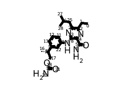 CCc1nc(C(N)=O)c(Nc2cccc([C@@H](C)COC(N)=O)c2)nc1CC(C)C